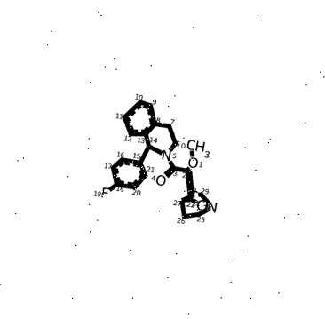 COC(C(=O)N1CCc2ccccc2C1c1ccc(F)cc1)=C1CN2CCC1CC2